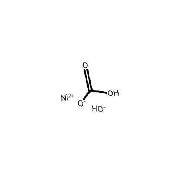 O=C([O-])O.[Ni+2].[OH-]